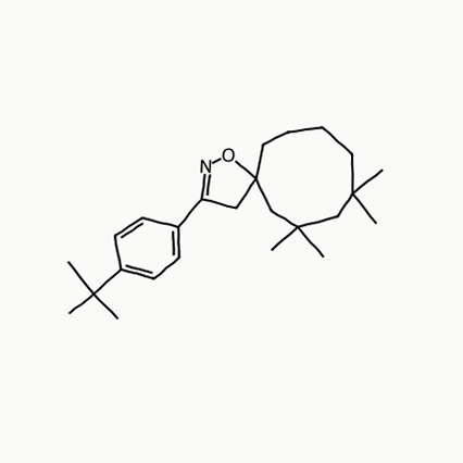 CC1(C)CCCCC2(CC(c3ccc(C(C)(C)C)cc3)=NO2)CC(C)(C)C1